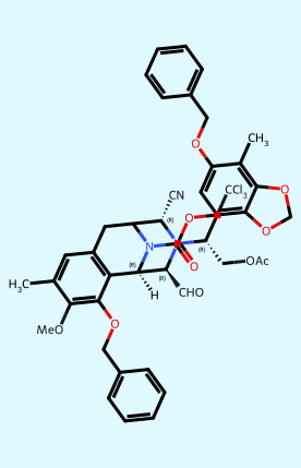 COc1c(C)cc2c(c1OCc1ccccc1)[C@@H]1[C@H](C=O)N([C@@H](COC(C)=O)c3cc(OCc4ccccc4)c(C)c4c3OCO4)[C@@H](C#N)C(C2)N1C(=O)OCC(Cl)(Cl)Cl